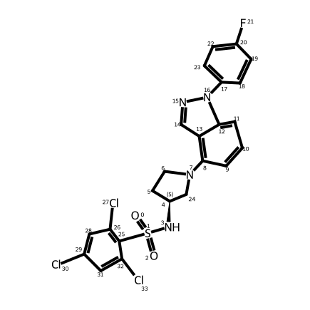 O=S(=O)(N[C@H]1CCN(c2cccc3c2cnn3-c2ccc(F)cc2)C1)c1c(Cl)cc(Cl)cc1Cl